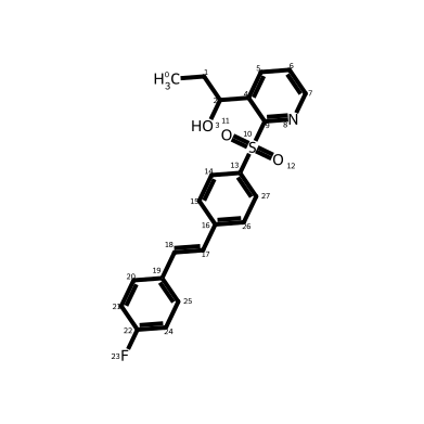 CCC(O)c1cccnc1S(=O)(=O)c1ccc(C=Cc2ccc(F)cc2)cc1